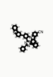 N#Cc1ccc2c(c1)c1ccccc1n2-c1ccc(-c2ccc3sc4ccccc4c3c2)cc1-c1nc(-c2ccccc2)nc(-c2ccccc2)n1